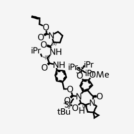 C=CCOC(=O)N1CCC[C@H]1C(=O)N[C@@H](CC(C)C)C(=O)Nc1ccc(COC(=O)N2c3cc(O[Si](C(C)C)(C(C)C)C(C)C)c(OC)cc3C(=O)N3CC4(CC4)C[C@H]3C2O[Si](C)(C)C(C)(C)C)cc1